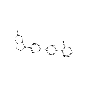 CN1CC2CCN(c3ccc(-c4ccc(-n5ncccc5=O)nc4)cc3)C2C1